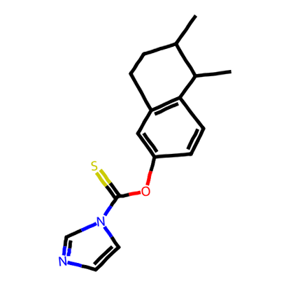 CC1CCc2cc(OC(=S)n3ccnc3)ccc2C1C